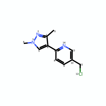 Cc1nn(C)cc1-c1ccc(CCl)cn1